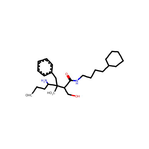 NC(CCC=O)C(Cc1ccccc1)(C(=O)O)C(CO)C(=O)NCCCCC1CCCCC1